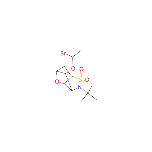 CC(Br)OC1C2CC3C(O2)C1N(C(C)(C)C)S3(=O)=O